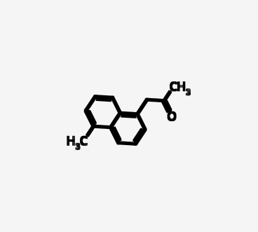 CC(=O)Cc1cccc2c(C)cccc12